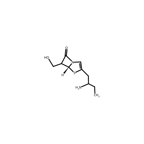 CCC(N)CC1=CN2C(=O)C(CO)[C@H]2S1